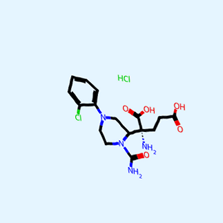 Cl.NC(=O)N1CCN(c2ccccc2Cl)CC1[C@](N)(CCC(=O)O)C(=O)O